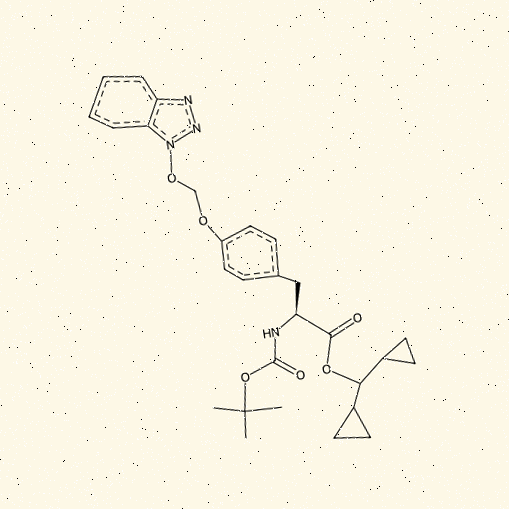 CC(C)(C)OC(=O)N[C@@H](Cc1ccc(OCOn2nnc3ccccc32)cc1)C(=O)OC(C1CC1)C1CC1